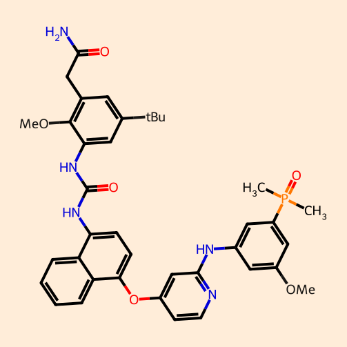 COc1cc(Nc2cc(Oc3ccc(NC(=O)Nc4cc(C(C)(C)C)cc(CC(N)=O)c4OC)c4ccccc34)ccn2)cc(P(C)(C)=O)c1